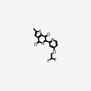 Cc1cc2c(s1)C(=O)C(c1cc(OCC(F)F)ccn1)=NC2=O